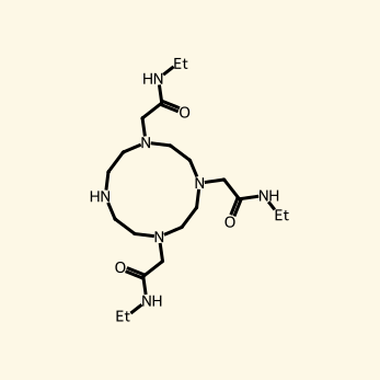 CCNC(=O)CN1CCNCCN(CC(=O)NCC)CCN(CC(=O)NCC)CC1